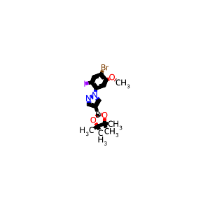 COc1cc(-n2cc(B3OC(C)(C)C(C)(C)O3)cn2)c(I)cc1Br